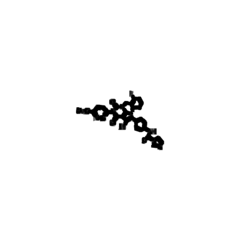 CCc1c(-c2ccc(NC(=O)n3ccnc3)cc2)sc2c1c(=O)n(-c1ccc(OC)nn1)c(=O)n2Cc1c(F)cccc1F